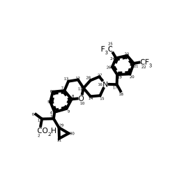 CC(C(=O)O)C(c1ccc2c(c1)OC1(CC2)CCN(C(C)c2cc(C(F)(F)F)cc(C(F)(F)F)c2)CC1)C1CC1